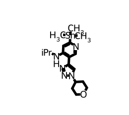 CC(C)Nc1c[c]([Sn]([CH3])([CH3])[CH3])ncc1-c1cn(C2CCOCC2)nn1